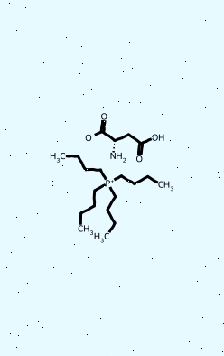 CCCC[P+](CCCC)(CCCC)CCCC.N[C@@H](CC(=O)O)C(=O)[O-]